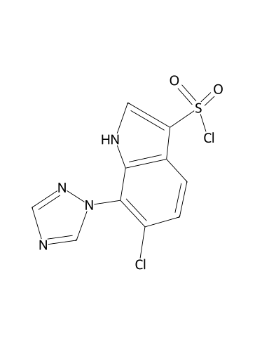 O=S(=O)(Cl)c1c[nH]c2c(-n3cncn3)c(Cl)ccc12